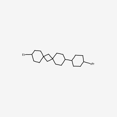 CCCC1CCC(C2CCC3(CC2)CC2(CCC(CC)CC2)C3)CC1